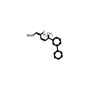 C=C(/C=C\C(C)=C/NC)c1cccc(-c2ccccc2)c1